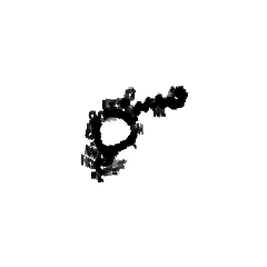 CCO[C@@H](O[C@@H]1[C@H](C)C(=O)C(C)(F)C(=O)O[C@H](CC)[C@@]2(C)OC(=O)N(CCCCn3cc(-c4ccccn4)nn3)[C@@H]2[C@@H](C)NC[C@H](C)C[C@@]1(C)OC)C(O)C(CC)N(C)C